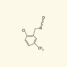 O=C=NCc1cc(C(F)(F)F)ccc1Cl